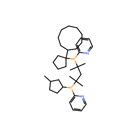 CC1CCC(P(c2ccccn2)C(C)(C)CC(C)(C)P(c2ccccn2)C2(C3CCCCCCCC3)CCCC2)C1